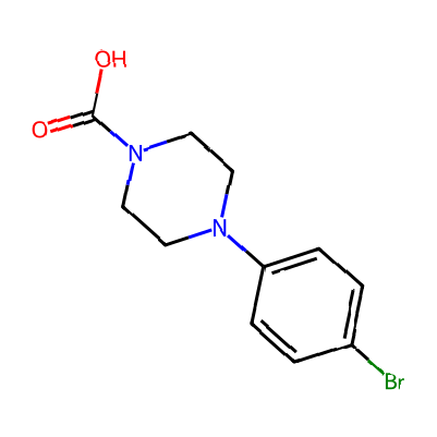 O=C(O)N1CCN(c2ccc(Br)cc2)CC1